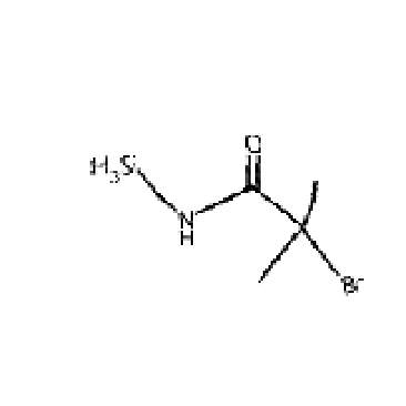 CC(C)(Br)C(=O)N[SiH3]